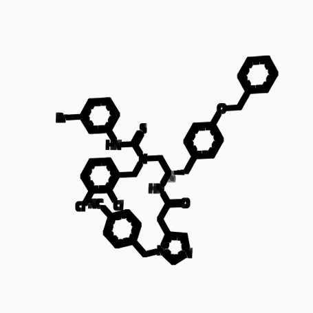 N#Cc1ccc(Cn2cncc2CC(=O)N[C@@H](Cc2ccc(OCc3ccccc3)cc2)CN(Cc2cccc(Cl)c2Cl)C(=S)Nc2cccc(Br)c2)cc1